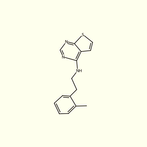 Cc1ccccc1CCNc1ncnc2sccc12